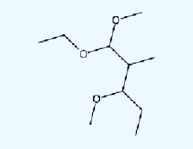 CCOC(OC)C(C)C(CC)OC